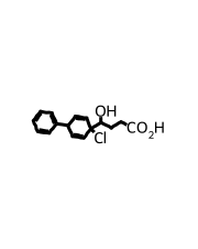 O=C(O)CCC(O)C1(Cl)C=CC(c2ccccc2)C=C1